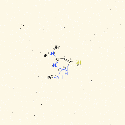 CC(C)NN1N=C(N(C(C)C)C(C)C)C=C(S)N1